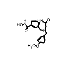 COc1ccc(CN2CC(=O)Nc3ccc(C(=O)NO)cc3C2)cc1